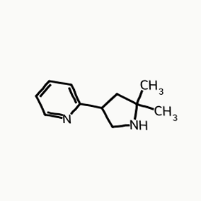 CC1(C)CC(c2ccccn2)CN1